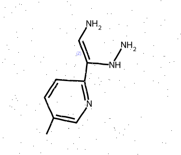 Cc1ccc(/C(=C/N)NN)nc1